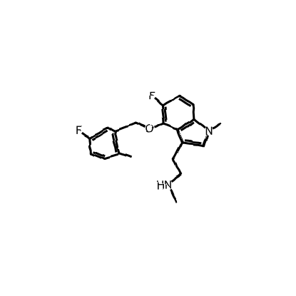 CNCCc1cn(C)c2ccc(F)c(OCc3cc(F)ccc3C)c12